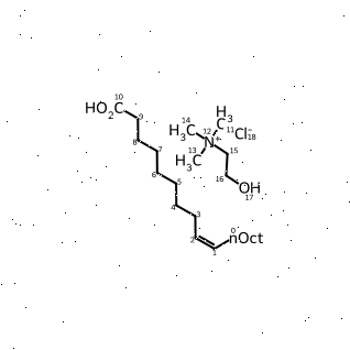 CCCCCCCC/C=C\CCCCCCCC(=O)O.C[N+](C)(C)CCO.[Cl-]